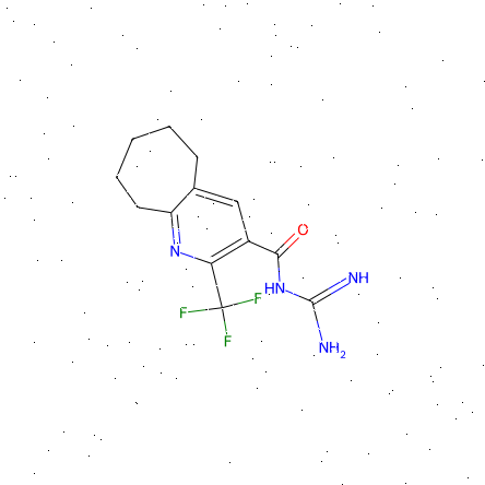 N=C(N)NC(=O)c1cc2c(nc1C(F)(F)F)CCCCC2